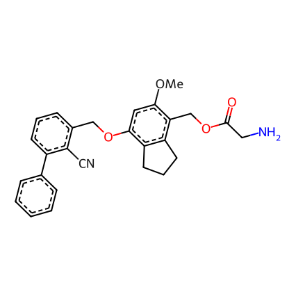 COc1cc(OCc2cccc(-c3ccccc3)c2C#N)c2c(c1COC(=O)CN)CCC2